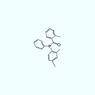 Cc1ccc(P(C(=O)c2ccccc2C)c2ccccc2)c(C)c1